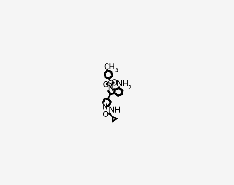 Cc1ccc(S(=O)(=O)n2cc(-c3ccnc(NC(=O)C4CC4)c3)c3cccc(N)c32)cc1